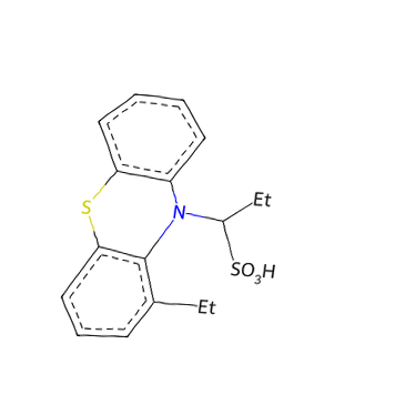 CCc1cccc2c1N(C(CC)S(=O)(=O)O)c1ccccc1S2